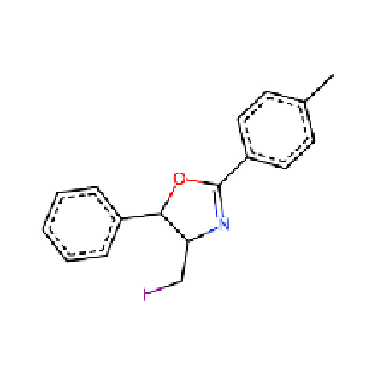 Cc1ccc(C2=NC(CI)C(c3ccccc3)O2)cc1